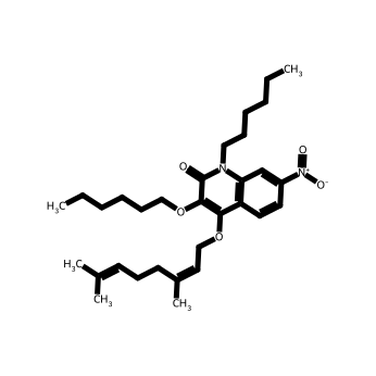 CCCCCCOc1c(OCC=C(C)CCC=C(C)C)c2ccc([N+](=O)[O-])cc2n(CCCCCC)c1=O